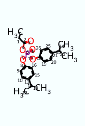 CCC(=O)OP(=O)(Oc1ccc(C(C)C)cc1)Oc1ccc(C(C)C)cc1